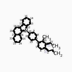 C=C/C=c1/ccc(-c2ccc(-n3c4ccccc4c4ccc5ccccc5c43)cc2)c(C)/c1=C/C